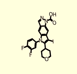 O=C(O)n1ncc2cc3c(cc21)c(I)c(C1CCOCC1)n3-c1ccc(F)c(F)c1